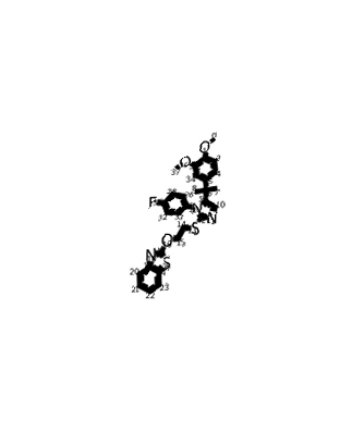 COc1ccc(C(C)(C)c2cnc(SCCOc3nc4ccccc4s3)n2-c2ccc(F)cc2)cc1OC